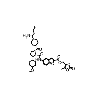 COC1CCC([C@@H]2CCN(C(=O)[C@H]3CC[C@H]([C@H](N)CCF)CC3)[C@@H]2C(=O)Nc2ccc3oc(C(=O)OCc4oc(=O)oc4C)cc3c2)CC1